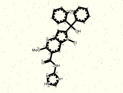 CCn1c(C(O)(c2ccccc2)c2ccccc2OC)cc2nc(OC)c(C(=O)Nc3nc[nH]n3)cc21